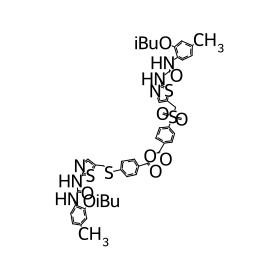 Cc1ccc(NC(=O)Nc2ncc(CSc3ccc(C(=O)OC(=O)c4ccc(S(=O)(=O)Cc5cnc(NC(=O)Nc6ccc(C)cc6OCC(C)C)s5)cc4)cc3)s2)c(OCC(C)C)c1